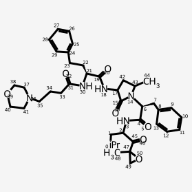 CC(C)CC(NC(=O)[C@H](Cc1ccccc1)N1C(=O)C(NC(=O)[C@H](CCc2ccccc2)NC(=O)CCCN2CCOCC2)CC1C)C(=O)C1(C)CO1